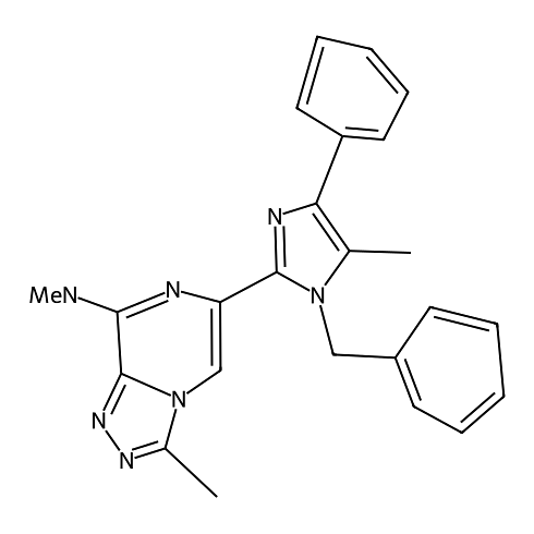 CNc1nc(-c2nc(-c3ccccc3)c(C)n2Cc2ccccc2)cn2c(C)nnc12